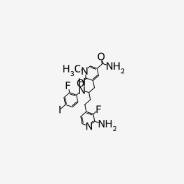 Cn1cc(C(N)=O)cc(CC(CCc2ccnc(N)c2F)Nc2ccc(I)cc2F)c1=O